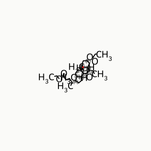 CCOC(=O)CCC(C)[C@H]1CC[C@H]2[C@@H]3C(=O)[C@H](CC)[C@@H]4C[C@H](OC(=O)CC)CC[C@]4(C)[C@H]3CC[C@]12C